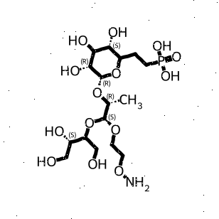 C[C@@H](O[C@H]1OC(CCP(=O)(O)O)[C@@H](O)C(O)[C@H]1O)[C@@H](OCCON)OC(CO)[C@@H](O)CO